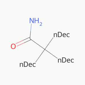 CCCCCCCCCCC(CCCCCCCCCC)(CCCCCCCCCC)C(N)=O